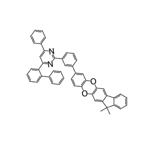 CC1(C)c2ccccc2-c2cc3c(cc21)Oc1ccc(-c2cccc(-c4nc(-c5ccccc5)cc(-c5ccccc5-c5ccccc5)n4)c2)cc1O3